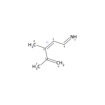 C=C(C)/C(C)=C\C=N